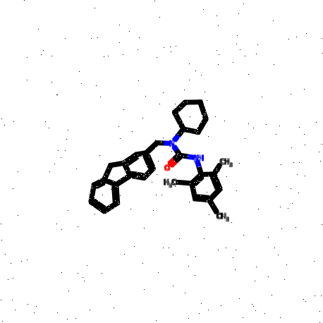 Cc1cc(C)c(NC(=O)N(Cc2ccc3c(c2)Cc2ccccc2-3)C2CCCCC2)c(C)c1